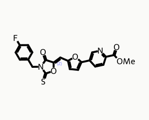 COC(=O)c1ccc(-c2ccc(/C=C3\OC(=S)N(Cc4ccc(F)cc4)C3=O)o2)cn1